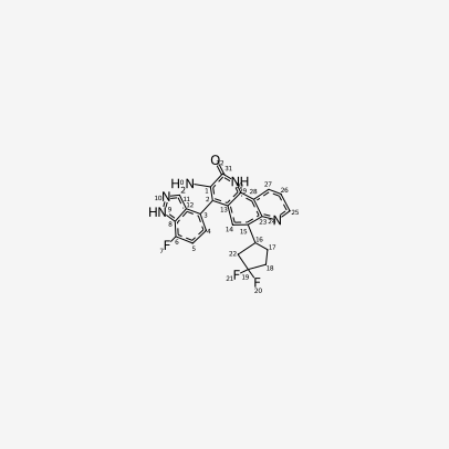 Nc1c(-c2ccc(F)c3[nH]ncc23)c2cc(C3CCC(F)(F)C3)c3ncccc3c2[nH]c1=O